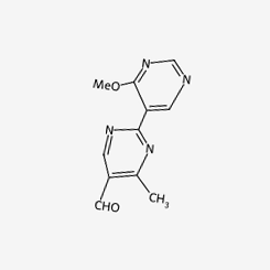 COc1ncncc1-c1ncc(C=O)c(C)n1